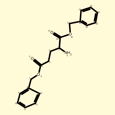 NC(CCC(=O)OCc1ccccc1)C(=O)OCc1ccccc1